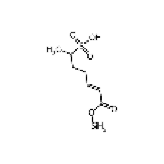 CC(CCC=CC(=O)O[SiH3])S(=O)(=O)O